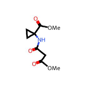 COC(=O)CC(=O)NC1(C(=O)OC)CC1